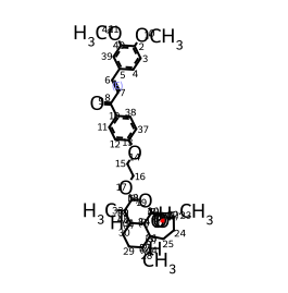 COc1ccc(/C=C/C(=O)c2ccc(OCCO[C@H]3O[C@@H]4O[C@]5(C)CC[C@H]6[C@H](C)CC[C@@H]([C@H]3C)[C@@]46OO5)cc2)cc1OC